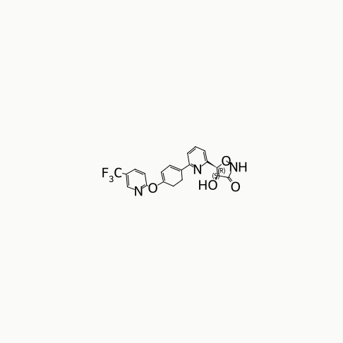 O=C1NO[C@H](c2cccc(C3=CC=C(Oc4ccc(C(F)(F)F)cn4)CC3)n2)[C@@H]1O